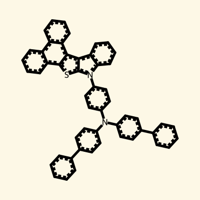 c1ccc(-c2ccc(N(c3ccc(-c4ccccc4)cc3)c3ccc(-n4c5ccccc5c5c6c7ccccc7c7ccccc7c6sc54)cc3)cc2)cc1